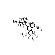 CC(C)[C@H](C)n1cc(-c2cc(C(C)(C)C#N)n(C)n2)c2[nH]nc(N)c2c1=O